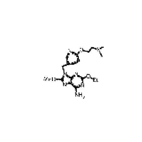 CCOc1nc(N)c2nc(OC)n(Cc3ccc(OCCN(C)C)nc3)c2n1